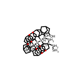 OC1CC2CCC1([SiH]([SiH2][SiH2][SiH2][SiH3])[Si](C13CCC(CC1O)C3)(C13CCC(CC1O)C3)[Si](C13CCC(CC1O)C3)(C13CCC(CC1O)C3)[Si](C13CCC(CC1O)C3)(C13CCC(CC1O)C3)C13CCC(CC1O)C3)C2